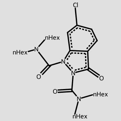 CCCCCCN(CCCCCC)C(=O)n1c(=O)c2ccc(Cl)cc2n1C(=O)N(CCCCCC)CCCCCC